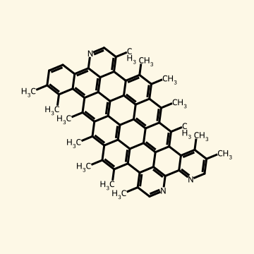 Cc1ccc2c3ncc(C)c4c5c(C)c(C)c6c(C)c7c(C)c8c9c(C)c(C)cnc9c9ncc(C)c%10c%11c(C)c(C)c%12c(C)c%13c(C)c(c2c1C)c(c34)c1c%13c2c%12c%11c(c7c2c6c51)c8c9%10